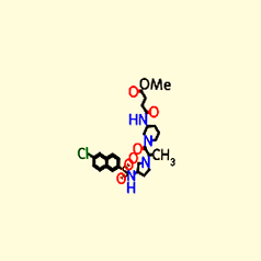 COC(=O)CCC(=O)NC1CCCN(C(=O)C(C)N2CCC(NS(=O)(=O)c3ccc4cc(Cl)ccc4c3)C2=O)C1